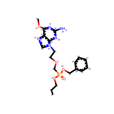 CCCOP(=O)(COCCn1cnc2c(OC)nc(N)nc21)OCc1ccccc1